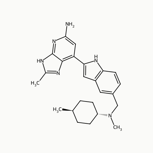 Cc1nc2c(-c3cc4cc(CN(C)[C@H]5CC[C@H](C)CC5)ccc4[nH]3)cc(N)nc2[nH]1